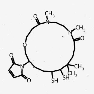 CN1CCN(C)C(=O)CCC(C)(C)C(S)C(S)C[CH]C(N2C(=O)C=CC2=O)COCCC1=O